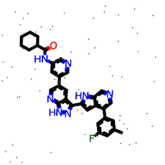 Cc1cc(F)cc(-c2cncc3[nH]c(-c4n[nH]c5ncc(-c6cncc(NC(=O)C7CCCCC7)c6)cc45)cc23)c1